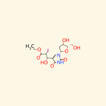 CCOC(=O)C(I)C(O)c1cn([C@@H]2CC(O)[C@H](CO)O2)c(=O)[nH]c1=O